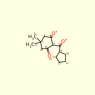 CC1(C)CC(=O)C(C(=O)C2CCCC2)C(=O)C1